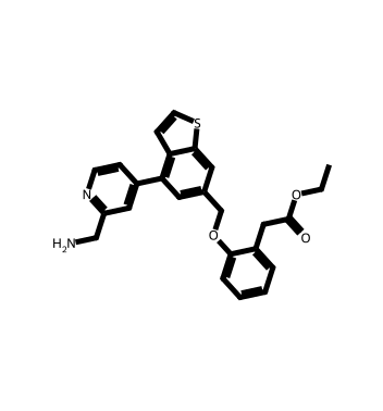 CCOC(=O)Cc1ccccc1OCc1cc(-c2ccnc(CN)c2)c2ccsc2c1